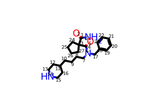 NC(=O)C1(C(=O)N(CCCCC2CCNCC2)Cc2ccccc2)CCCC1